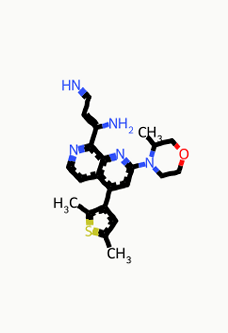 Cc1cc(-c2cc(N3CCOCC3C)nc3c(/C(N)=C/C=N)nccc23)c(C)s1